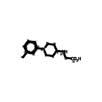 Cc1cccc(N2CCC(NCC(=O)O)CC2)c1